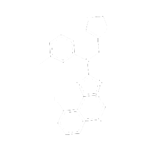 Cc1cccc(N(CC2=COCO2)c2nc3c4c(F)cccc4ncn3n2)c1